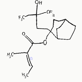 C/C=C(\C)C(=O)OC1(CC(O)(C(F)(F)F)C(F)(F)F)CC2CCC1C2